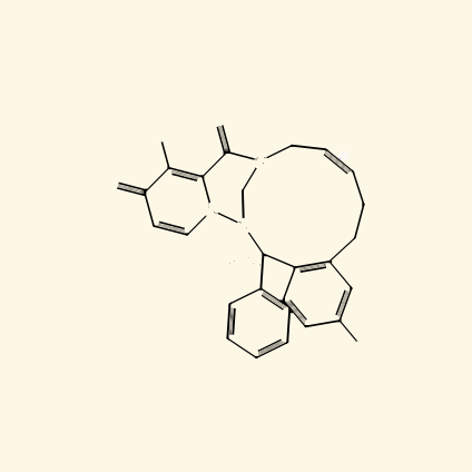 C[C@@]1(c2ccccc2)c2ccc(F)cc2CC/C=C\CN2CN1n1ccc(=O)c(O)c1C2=O